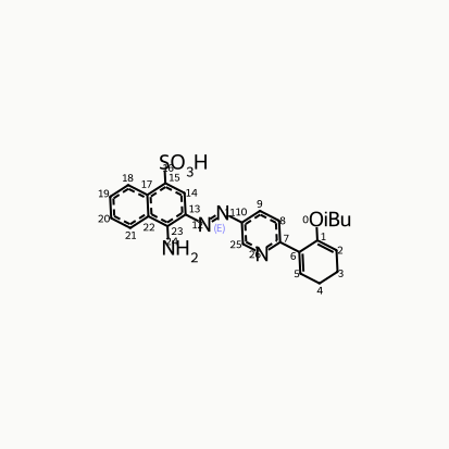 CC(C)COC1=CCCC=C1c1ccc(/N=N/c2cc(S(=O)(=O)O)c3ccccc3c2N)cn1